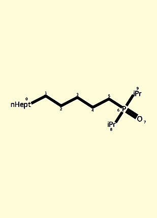 CCCCCCCCCCCCP(=O)(C(C)C)C(C)C